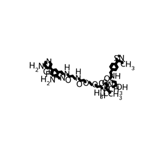 Cc1ncsc1-c1ccc(CNC(=O)[C@@H]2C[C@@H](O)CN2C(=O)[C@@H](NC(=O)COCCOCC(=O)NCCC(=O)Nc2cc3cc(-c4cncc(N)c4C)c(F)c(N)c3cn2)C(C)(C)C)cc1